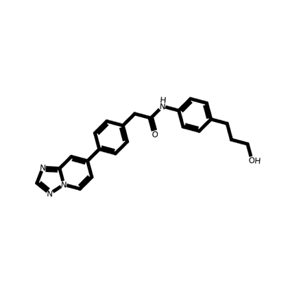 O=C(Cc1ccc(-c2ccn3ncnc3c2)cc1)Nc1ccc(CCCO)cc1